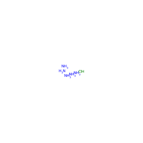 Cl.N.N.N.N.N